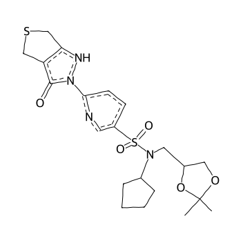 CC1(C)OCC(CN(C2CCCC2)S(=O)(=O)c2ccc(-n3[nH]c4c(c3=O)CSC4)nc2)O1